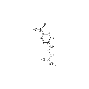 CC(=O)OCNc1ccc([N+](=O)[O-])cc1